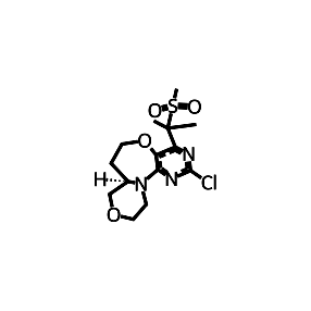 CC(C)(c1nc(Cl)nc2c1OCC[C@@H]1COCCN21)S(C)(=O)=O